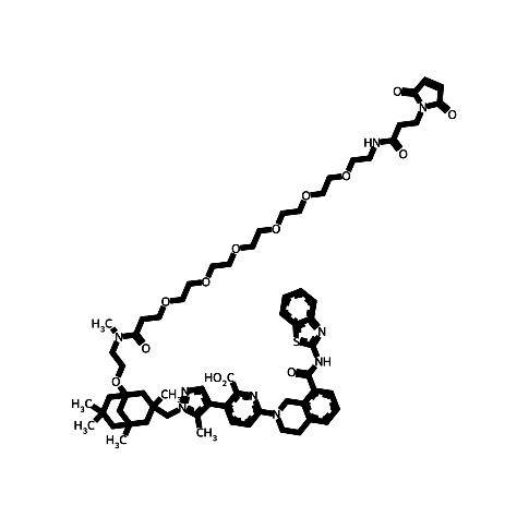 Cc1c(-c2ccc(N3CCc4cccc(C(=O)Nc5nc6ccccc6s5)c4C3)nc2C(=O)O)cnn1CC1(C)CC2(C)CC(C)(C)CC(OCCN(C)C(=O)CCOCCOCCOCCOCCOCCOCCNC(=O)CCN3C(=O)C=CC3=O)(C1)C2